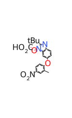 Cc1cc([N+](=O)[O-])ccc1Oc1ccc2nc(C(C)(C)C)n(OC(=O)O)c2c1